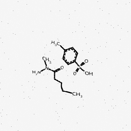 CCCCC(=O)N(C)N.Cc1ccc(S(=O)(=O)O)cc1